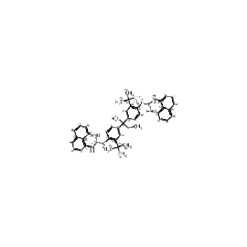 CCC(C)(c1ccc(OP2Nc3cccc4cccc(c34)N2)c(C(C)(C)C)c1)c1ccc(OP2Nc3cccc4cccc(c34)N2)c(C(C)(C)C)c1